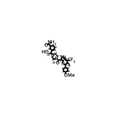 COc1ccc(-c2nc3c(C(=O)N4CCN([C@@H](CO)c5cccc(C(N)=O)c5)C[C@H]4C)cnn3c(C(F)(F)F)c2C)cc1